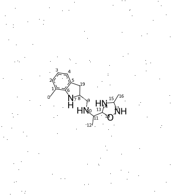 Cc1cccc2c1NC(CNC(C)C1NC(C)NO1)C2